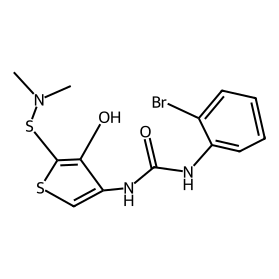 CN(C)Sc1scc(NC(=O)Nc2ccccc2Br)c1O